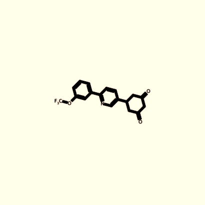 O=C1CC(=O)CC(c2ccc(-c3cccc(OC(F)(F)F)c3)nc2)C1